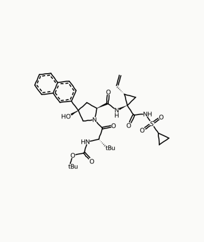 C=C[C@@H]1C[C@]1(NC(=O)[C@@H]1C[C@@](O)(c2ccc3ccccc3c2)CN1C(=O)[C@@H](NC(=O)OC(C)(C)C)C(C)(C)C)C(=O)NS(=O)(=O)C1CC1